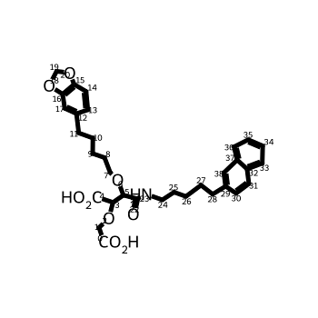 O=C(O)COC(C(=O)O)C(OCCCCCc1ccc2c(c1)OCO2)C(=O)NCCCCCc1ccc2ccccc2c1